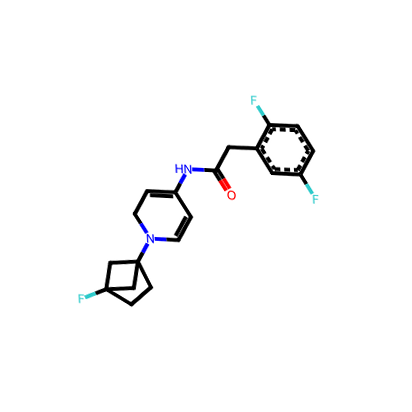 O=C(Cc1cc(F)ccc1F)NC1=CCN(C23CCC(F)(C2)C3)C=C1